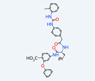 Cc1ccccc1NC(=O)Nc1ccc(CC(=O)N[C@@H](CC(C)C)C(=O)Nc2ccc(C(=O)O)c(Oc3ccccc3)c2)cc1